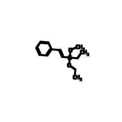 CCO[Si](C=Cc1ccccc1)(CC)OC